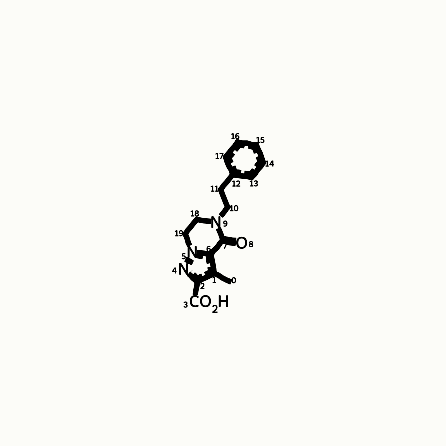 Cc1c(C(=O)O)nn2c1C(=O)N(CCc1ccccc1)CC2